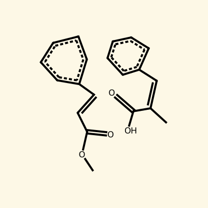 CC(=Cc1ccccc1)C(=O)O.COC(=O)C=Cc1ccccc1